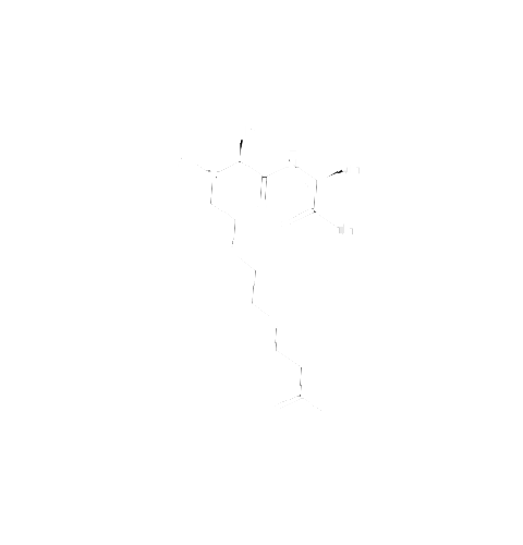 CCC(=O)CCOCCOCCN(C)[C@H](C(=O)N[C@H](C(=O)C(C)C)C(C)C)C(C)C